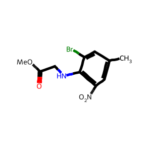 COC(=O)CNc1c(Br)cc(C)cc1[N+](=O)[O-]